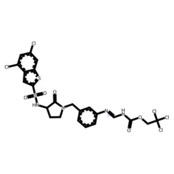 O=C(N/C=N/c1cccc(CN2CCC(NS(=O)(=O)c3cc4c(Cl)cc(Cl)cc4s3)C2=O)c1)OCC(Cl)(Cl)Cl